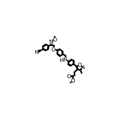 CO/N=C(\COc1ccc(CNc2ccc(-c3onc(C)c3CCC(=O)OC)cc2)cc1)c1ccc(C#N)cc1